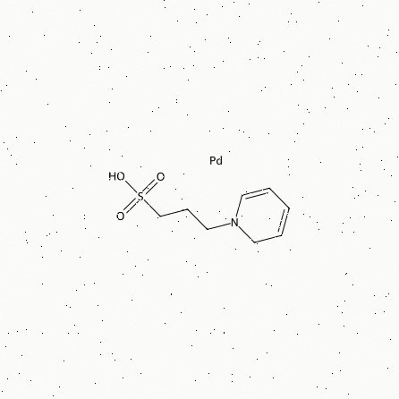 O=S(=O)(O)CCCN1C=CC=CC1.[Pd]